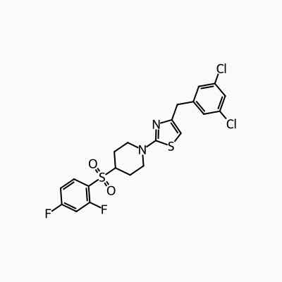 O=S(=O)(c1ccc(F)cc1F)C1CCN(c2nc(Cc3cc(Cl)cc(Cl)c3)cs2)CC1